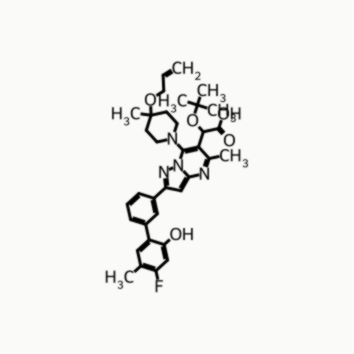 C=CCOC1(C)CCN(c2c(C(OC(C)(C)C)C(=O)O)c(C)nc3cc(-c4cccc(-c5cc(C)c(F)cc5O)c4)nn23)CC1